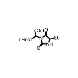 CCCCCCCCC(CCCCCCC)N1C(=O)N[C@H](CC)C1=O